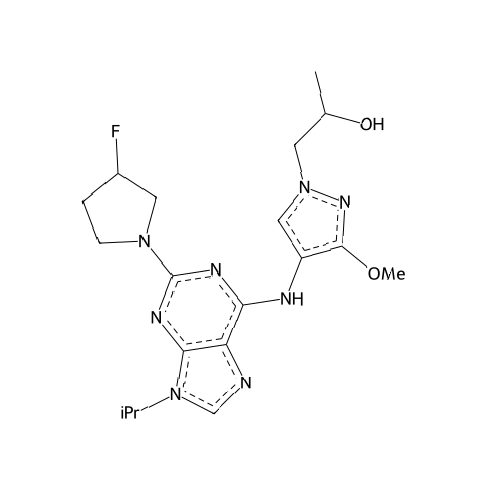 COc1nn(CC(C)O)cc1Nc1nc(N2CCC(F)C2)nc2c1ncn2C(C)C